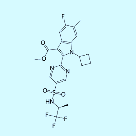 COC(=O)c1c(-c2ncc(S(=O)(=O)N[C@@H](C)C(F)(F)F)cn2)n(C2CCC2)c2cc(C)c(F)cc12